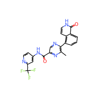 Cc1nc(C(=O)Nc2ccnc(C(F)(F)F)c2)cnc1-c1cccc2c(=O)[nH]ccc12